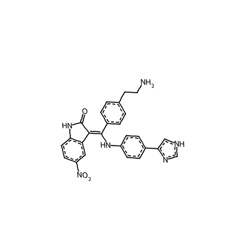 NCCc1ccc(C(Nc2ccc(-c3c[nH]cn3)cc2)=C2C(=O)Nc3ccc([N+](=O)[O-])cc32)cc1